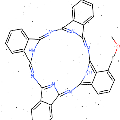 C[O][Ir][c]1cccc2c3nc4nc(nc5[nH]c(nc6nc(nc([nH]3)c12)-c1ccccc1-6)c1ccccc51)-c1ccccc1-4